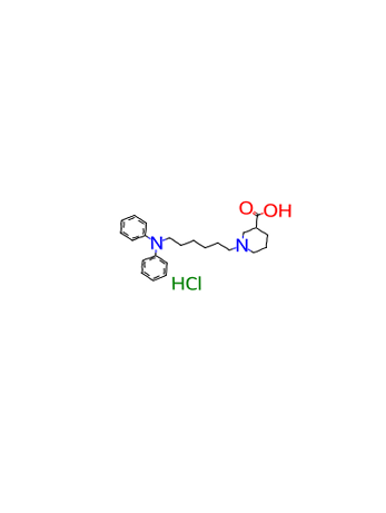 Cl.O=C(O)C1CCCN(CCCCCCN(c2ccccc2)c2ccccc2)C1